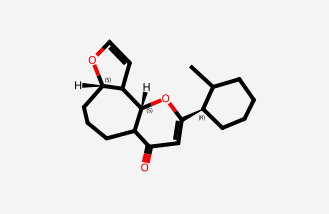 CC1CCCC[C@H]1C1=CC(=O)C2CCC[C@@H]3OC=CC3[C@@H]2O1